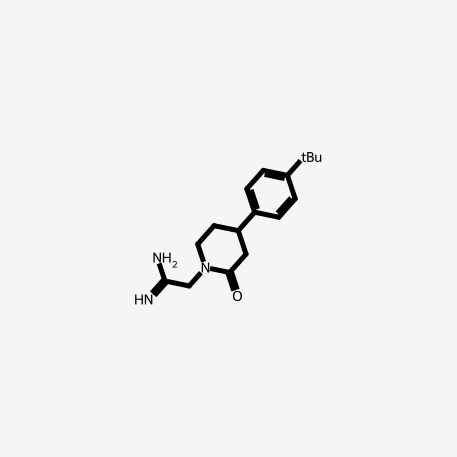 CC(C)(C)c1ccc(C2CCN(CC(=N)N)C(=O)C2)cc1